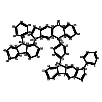 c1ccc(-n2ccc3cc4c5ccccc5n(-c5ccc(N6c7ccccc7Oc7cc8ccn(-c9cccc%10c%11cnccc%11n(-c%11ccccc%11)c9%10)c8cc76)cc5)c4cc32)cc1